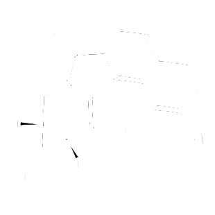 BB1[C@H]2N=C3c4c(ccc5ccc(O)c(C)c45)C(=O)N3C[C@@H]12